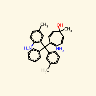 Cc1ccc(N)c(C(C2=CC=CC(C)(O)C=C2)(c2ccccc2)c2cc(C)ccc2N)c1